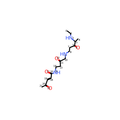 CCNC(C)C(=O)CCNCC(=O)CCNC(=O)/C=C/C(C)=O